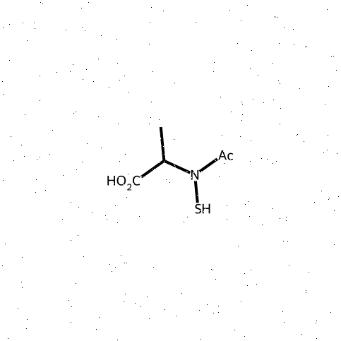 CC(=O)N(S)C(C)C(=O)O